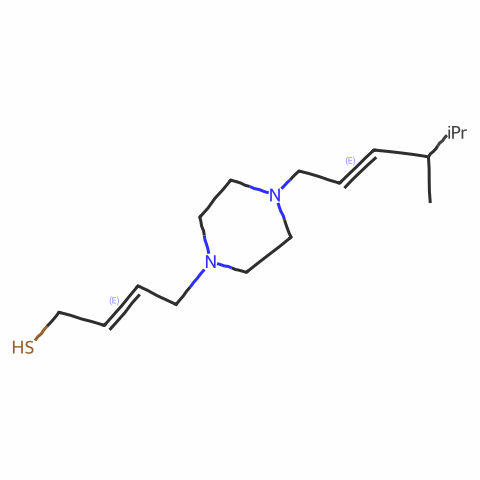 CC(C)C(C)/C=C/CN1CCN(C/C=C/CS)CC1